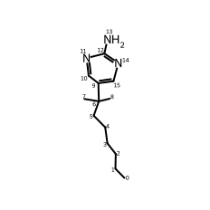 CCCCCCC(C)(C)c1cnc(N)nc1